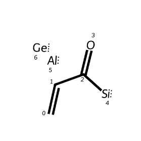 C=CC(=O)[Si].[Al].[Ge]